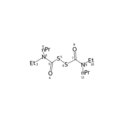 CCCN(CC)C(=O)SSC(=O)N(CC)CCC